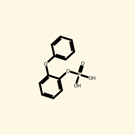 O=P(O)(O)Oc1ccccc1Oc1ccccc1